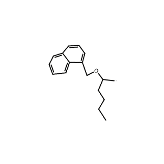 [CH2]C(CCCC)OCc1cccc2ccccc12